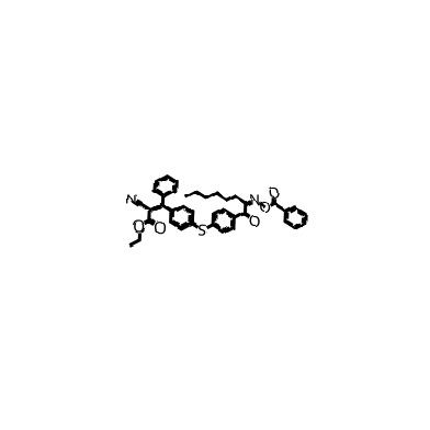 CCCCCCC(=NOC(=O)c1ccccc1)C(=O)c1ccc(Sc2ccc(C(=C(C#N)C(=O)OCC)c3ccccc3)cc2)cc1